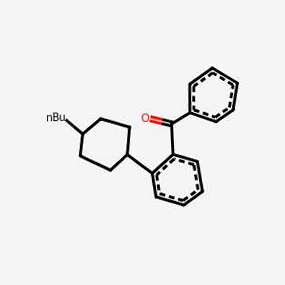 CCCCC1CCC(c2ccccc2C(=O)c2ccccc2)CC1